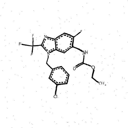 CCOC(=O)Nc1cc2c(cc1F)nc(C(F)(F)F)n2Cc1cccc(Cl)c1